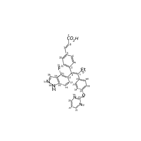 CCC(=C(c1ccc(C=CC(=O)O)cc1)c1ccc2[nH]ncc2c1F)c1ccc(Oc2ncccn2)cc1